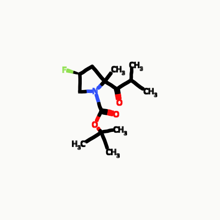 CC(C)C(=O)C1(C)C[C@H](F)CN1C(=O)OC(C)(C)C